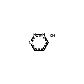 [KH].c1cnnnc1